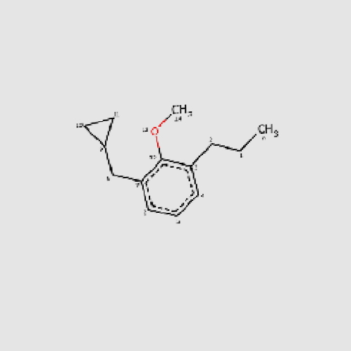 CCCc1cc[c]c(CC2CC2)c1OC